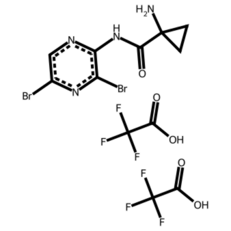 NC1(C(=O)Nc2ncc(Br)nc2Br)CC1.O=C(O)C(F)(F)F.O=C(O)C(F)(F)F